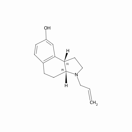 C=CCN1CC[C@H]2c3cc(O)ccc3CC[C@H]21